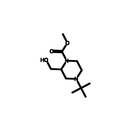 COC(=O)N1CCN(C(C)(C)C)CC1CO